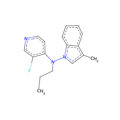 CCCN(c1ccncc1F)n1cc(C)c2c[c]ccc21